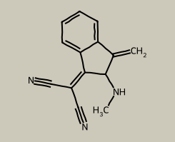 C=C1c2ccccc2C(=C(C#N)C#N)C1NC